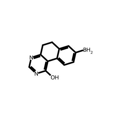 Bc1ccc2c(c1)CCc1ncnc(O)c1-2